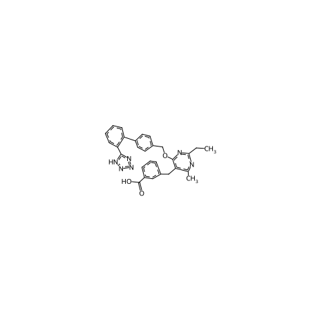 CCc1nc(C)c(Cc2cccc(C(=O)O)c2)c(OCc2ccc(-c3ccccc3-c3nnn[nH]3)cc2)n1